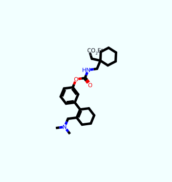 CCOC(=O)CC1(CNC(=O)Oc2cccc(C3=C(CN(C)C)CCCC3)c2)CCCCC1